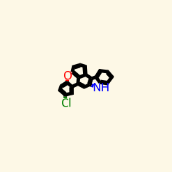 Clc1ccc2c(c1)-c1cc3[nH]c4ccccc4c3c3cccc(c13)O2